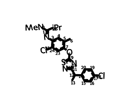 CNC(=Nc1cc(C)c(Oc2nc(C(C)c3ccc(Cl)cc3)ns2)cc1Cl)C(C)C